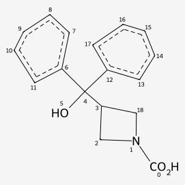 O=C(O)N1CC(C(O)(c2ccccc2)c2ccccc2)C1